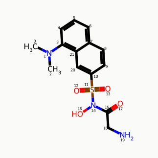 CN(C)c1cccc2ccc(S(=O)(=O)N(O)C(=O)CN)cc12